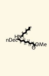 C=CCCCCNC(CCCCCCCCCC)CCCCCCC(=O)OC